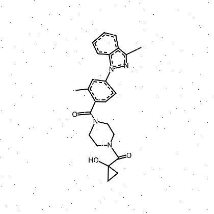 Cc1cc(-n2nc(C)c3ccccc32)ccc1C(=O)N1CCN(C(=O)C2(O)CC2)CC1